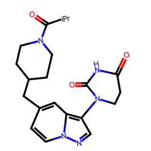 CC(C)C(=O)N1CCC(Cc2ccn3ncc(N4CCC(=O)NC4=O)c3c2)CC1